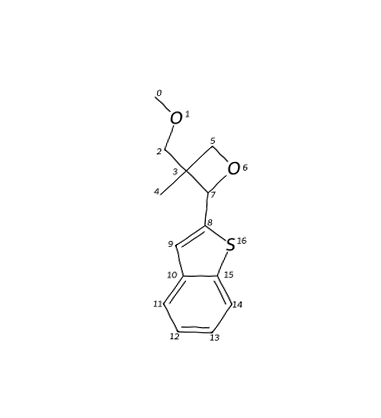 COCC1(C)COC1c1cc2ccccc2s1